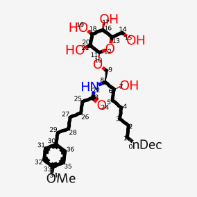 CCCCCCCCCCCCCCC[C@@H](O)[C@H](CO[C@H]1OC(CO)[C@H](O)C(O)C1O)NC(=O)CCCCCc1ccc(OC)cc1